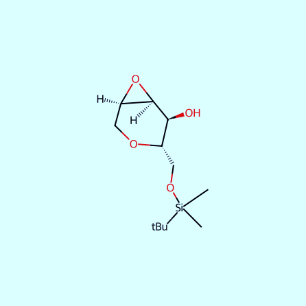 CC(C)(C)[Si](C)(C)OC[C@@H]1OC[C@H]2O[C@H]2[C@H]1O